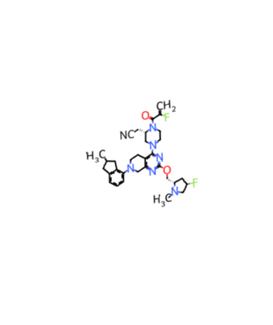 C=C(F)C(=O)N1CCN(c2nc(OC[C@@H]3C[C@@H](F)CN3C)nc3c2CCN(c2cccc4c2CC(C)C4)C3)C[C@@H]1CC#N